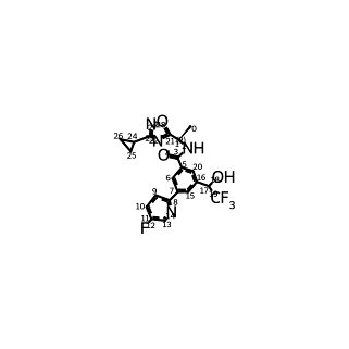 C[C@@H](NC(=O)c1cc(-c2ccc(F)cn2)cc(C(O)C(F)(F)F)c1)c1nc(C2CC2)no1